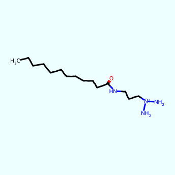 CCCCCCCCCCCC(=O)NCCC[N+](N)N